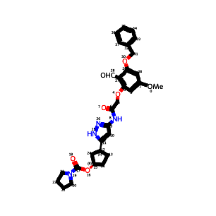 COc1cc(OCC(=O)Nc2cc([C@H]3CC[C@@H](OC(=O)N4CCCC4)C3)[nH]n2)c(C=O)c(OCc2ccccc2)c1